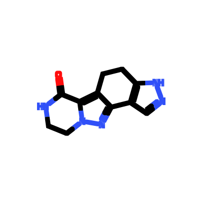 O=C1NCCn2nc3c(c21)CCc1[nH]ncc1-3